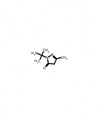 CC1=NN(C(C)(C)N)C(=O)C1